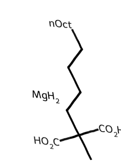 CCCCCCCCCCCCC(C)(C(=O)O)C(=O)O.[MgH2]